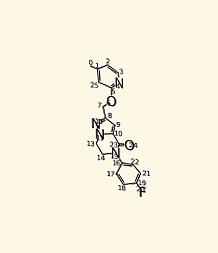 Cc1ccnc(OCc2cc3n(n2)CCN(c2ccc(F)cc2)C3=O)c1